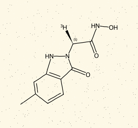 [3H][C@@H](C(=O)NO)n1[nH]c2cc(C)ccc2c1=O